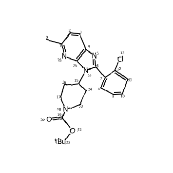 Cc1ccc2nc(-c3ccccc3Cl)n(C3CCN(C(=O)OC(C)(C)C)CC3)c2n1